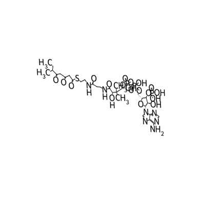 CCC(C)C(=O)CC(=O)CC(=O)SCCNC(=O)CCNC(=O)C(O)C(C)(C)COP(=O)(O)OP(=O)(O)OC[C@H]1O[C@@H](n2cnc3c(N)ncnc32)[C@H](O)[C@@H]1OP(=O)(O)O